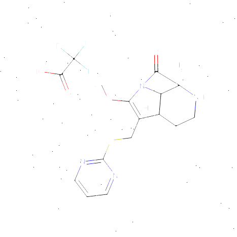 O=C(O)C(F)(F)F.O=C(O)OC1=C(CSc2ncccn2)C2CCN[C@@H]3C(=O)N1[C@H]23